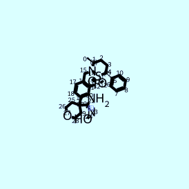 C[C@H]1CC[C@H](c2ccccc2)S(=O)(=O)N1Cc1ccc(C2(/C(N)=N\O)CCOCC2)cc1F